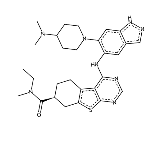 CCN(C)C(=O)[C@H]1CCc2c(sc3ncnc(Nc4cc5cn[nH]c5cc4N4CCC(N(C)C)CC4)c23)C1